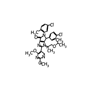 COc1ncc(-c2nc3c(n2[C@@H](C)COC(C)C)C(c2ccc(Cl)cc2)N(c2cc(Cl)ccc2C)C3=O)c(OC)n1